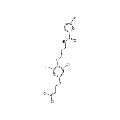 O=C(NCCCOc1c(Cl)cc(OCC=C(Cl)Cl)cc1Cl)c1ccc(Br)o1